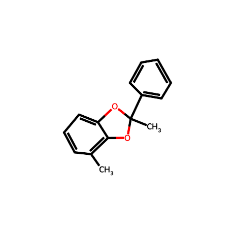 Cc1cccc2c1OC(C)(c1ccccc1)O2